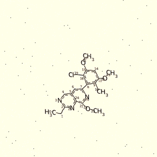 CCc1ncc2cc(-c3c(C)c(OC)cc(OC)c3Cl)nc(OC)c2n1